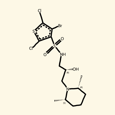 C[C@@H]1CCC[C@H](C)N1C[C@@H](O)CNS(=O)(=O)c1c(Cl)sc(Cl)c1Br